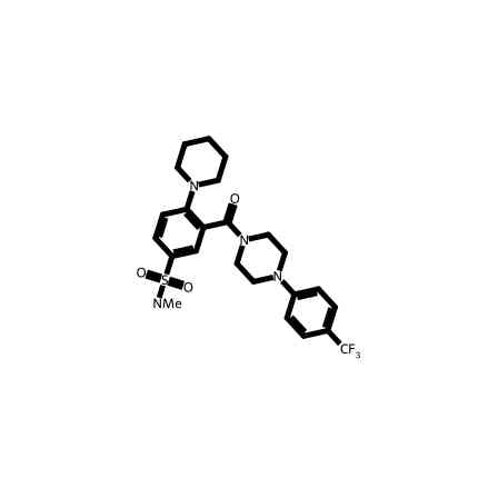 CNS(=O)(=O)c1ccc(N2CCCCC2)c(C(=O)N2CCN(c3ccc(C(F)(F)F)cc3)CC2)c1